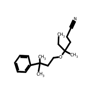 CCC(C)(CCC#N)OCCC(C)(C)c1ccccc1